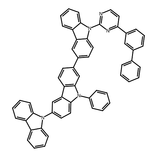 c1ccc(-c2cccc(-c3ccnc(-n4c5ccccc5c5cc(-c6ccc7c8cc(-n9c%10ccccc%10c%10ccccc%109)ccc8n(-c8ccccc8)c7c6)ccc54)n3)c2)cc1